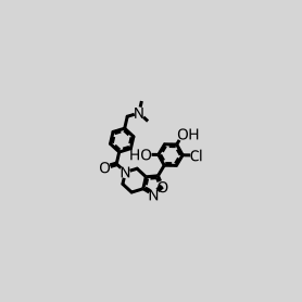 CN(C)Cc1ccc(C(=O)N2CCc3noc(-c4cc(Cl)c(O)cc4O)c3C2)cc1